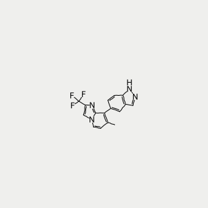 Cc1ccn2cc(C(F)(F)F)nc2c1-c1ccc2[nH]ncc2c1